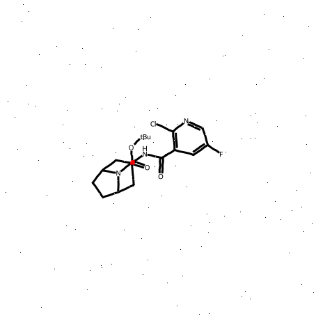 CC(C)(C)OC(=O)N1C2CCC1CC(NC(=O)c1cc(F)cnc1Cl)C2